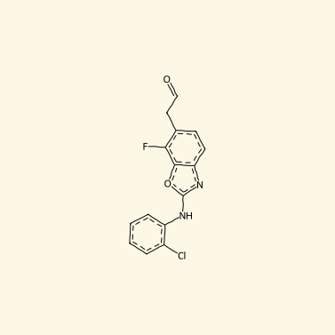 O=CCc1ccc2nc(Nc3ccccc3Cl)oc2c1F